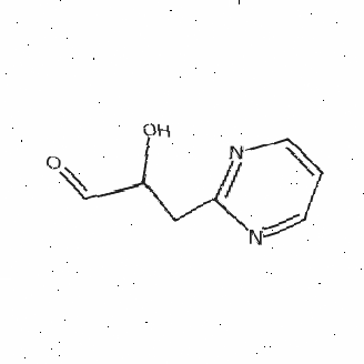 O=CC(O)Cc1ncccn1